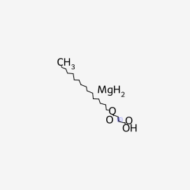 CCCCCCCCCCCCCCCCOC(=O)/C=C/C(=O)O.[MgH2]